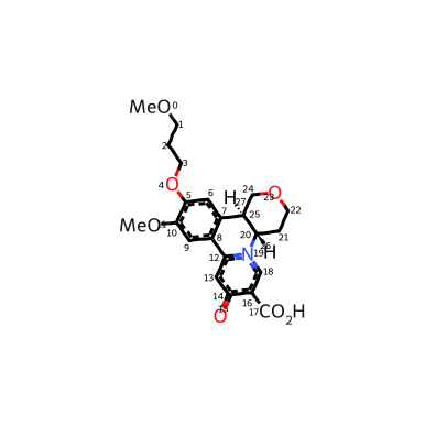 COCCCOc1cc2c(cc1OC)-c1cc(=O)c(C(=O)O)cn1[C@H]1CCOC[C@H]21